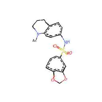 CC(=O)N1CCCc2ccc(NS(=O)(=O)c3ccc4c(c3)OCO4)cc21